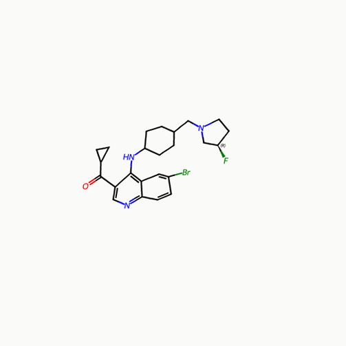 O=C(c1cnc2ccc(Br)cc2c1NC1CCC(CN2CC[C@@H](F)C2)CC1)C1CC1